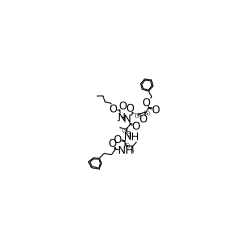 [3H]N(C(=O)[C@@H](NC(=O)CCc1ccccc1)C(C)C)[C@@H](C)C(=O)N(C(=O)[C@H]1O[C@@H]1C(=O)OCc1ccccc1)N(C)C(=O)OCCCC